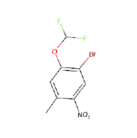 Cc1cc(OC(F)F)c(Br)cc1[N+](=O)[O-]